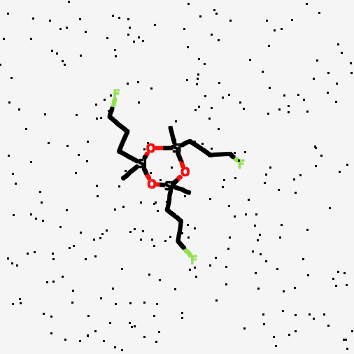 C[Si]1(CCCF)O[Si](C)(CCCF)O[Si](C)(CCCF)O1